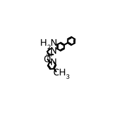 Cc1ccc(O[C@@H]2CCN(c3ccc(-c4ccccc4)cc3N)C2)nc1